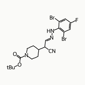 CC(C)(C)OC(=O)N1CCC(C(C#N)C=NNc2c(Br)cc(F)cc2Br)CC1